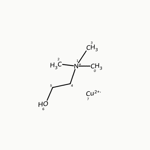 C[N+](C)(C)CCO.[Cu+2]